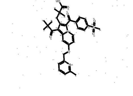 Cc1cccc(COc2ccn3c(C(=O)c4ccc(S(C)(=O)=O)cc4)c(CC(C)(C)C(=O)O)c(C(=O)C(C)(C)C)c3c2)n1